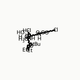 CCN(CC)c1ccc2c(c1)OC(C(C)(C)C)=CC2C=CC=C1Nc2c(CCCCCC(=O)NCCOCCOCCCCCCCl)cc(S(=O)(=O)O)cc2C1(C)C.Cl